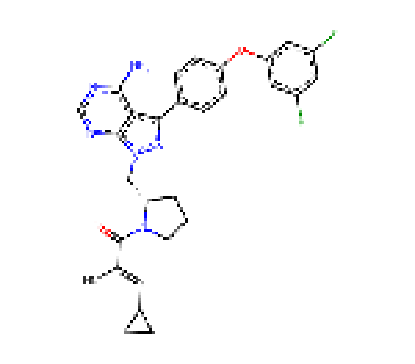 N#CC(=CC1CC1)C(=O)N1CCC[C@H]1Cn1nc(-c2ccc(Oc3cc(F)cc(F)c3)cc2)c2c(N)ncnc21